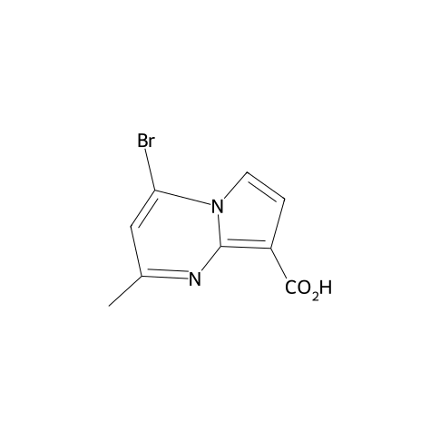 Cc1cc(Br)n2ccc(C(=O)O)c2n1